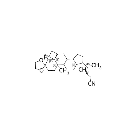 C[C@H](CCC#N)C1CCC2C3CC4CC5C[C@H]6C7(CC[C@](C)(C3CC[C@@]21C)[C@@]456)OCCO7